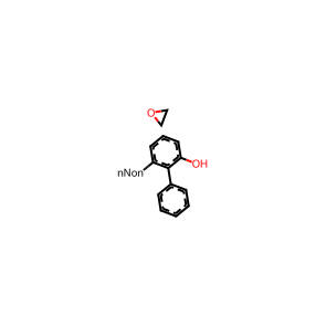 C1CO1.CCCCCCCCCc1cccc(O)c1-c1ccccc1